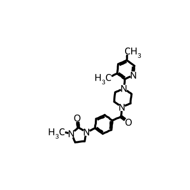 Cc1cnc(N2CCN(C(=O)c3ccc(N4CCN(C)C4=O)cc3)CC2)c(C)c1